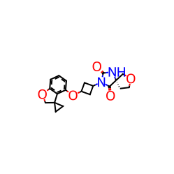 O=C1N[C@]2(CCOC2)C(=O)N1C1CC(Oc2cccc3c2C2(CC2)CO3)C1